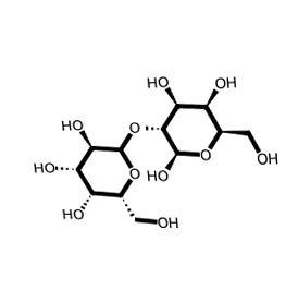 OC[C@H]1O[C@@H](O)[C@H](OC2O[C@H](CO)[C@H](O)[C@H](O)[C@H]2O)[C@@H](O)[C@H]1O